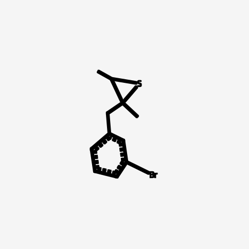 CC1SC1(C)Cc1cccc(Br)c1